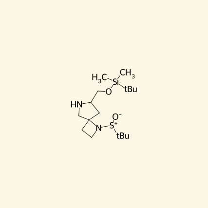 CC(C)(C)[S+]([O-])N1CCC12CNC(CO[Si](C)(C)C(C)(C)C)C2